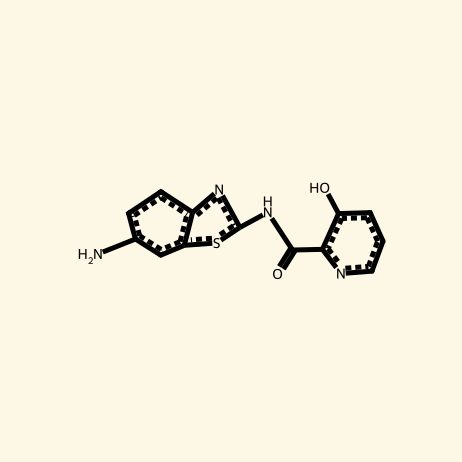 Nc1ccc2nc(NC(=O)c3ncccc3O)sc2c1